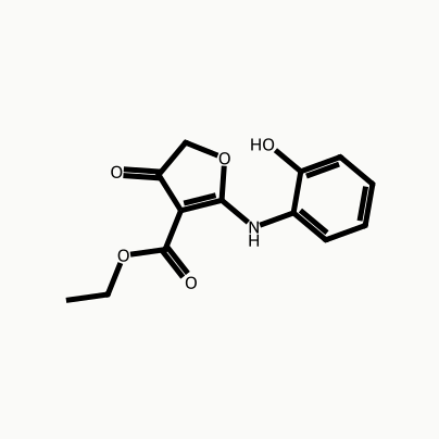 CCOC(=O)C1=C(Nc2ccccc2O)OCC1=O